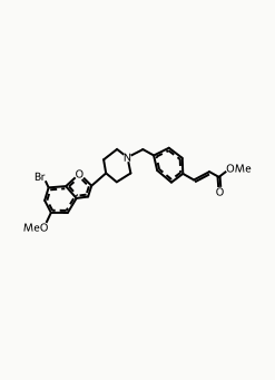 COC(=O)/C=C/c1ccc(CN2CCC(c3cc4cc(OC)cc(Br)c4o3)CC2)cc1